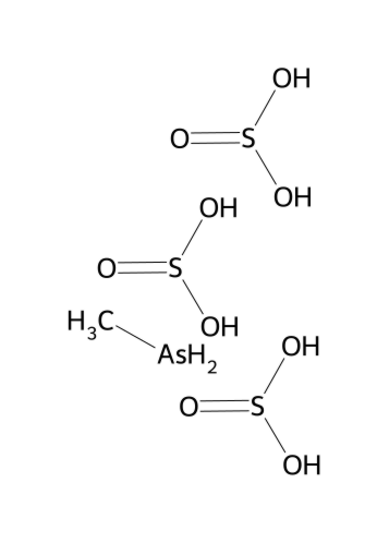 C[AsH2].O=S(O)O.O=S(O)O.O=S(O)O